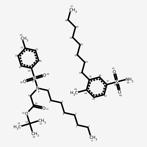 CCCCCCCCN(CC(=O)OC(C)(C)C)S(=O)(=O)c1ccc(C)cc1.CCCCCCCCc1cc(S(N)(=O)=O)ccc1C